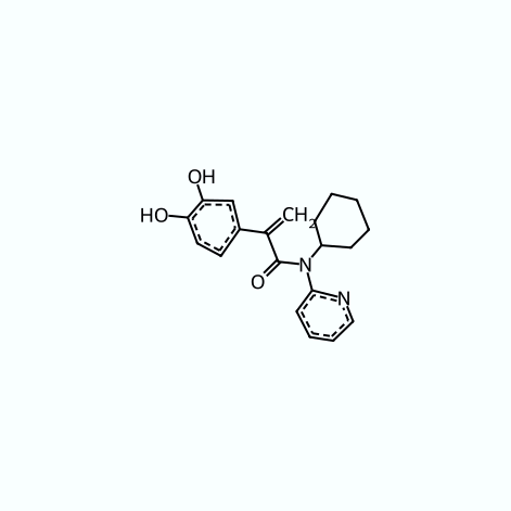 C=C(C(=O)N(c1ccccn1)C1CCCCC1)c1ccc(O)c(O)c1